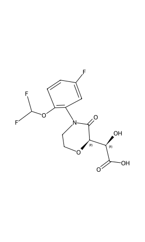 O=C(O)[C@H](O)[C@H]1OCCN(c2cc(F)ccc2OC(F)F)C1=O